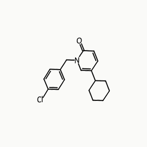 O=c1ccc(C2CCCCC2)cn1Cc1ccc(Cl)cc1